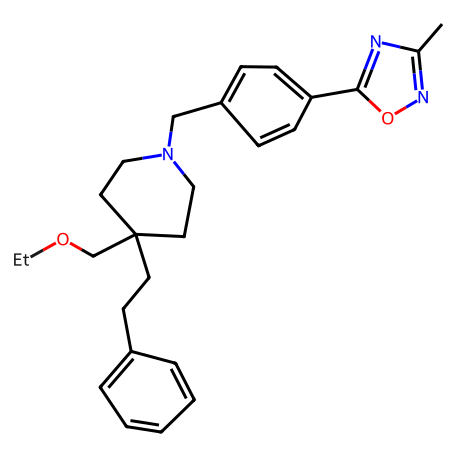 CCOCC1(CCc2ccccc2)CCN(Cc2ccc(-c3nc(C)no3)cc2)CC1